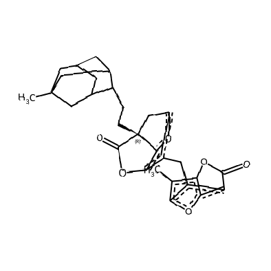 Cc1c2c3oc1c(Cc1c4oc5c1OC(=O)[C@]5(CCC1C5CC6CC1CC(C)(C6)C5)C4)c3C(=O)O2